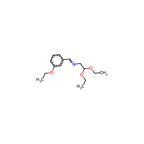 CCOc1cccc(C=NCC(OCC)OCC)c1